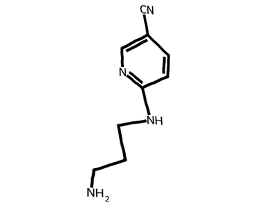 N#Cc1ccc(NCCCN)nc1